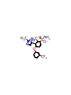 Cc1ncc(-c2c(Oc3cccc(C(F)(F)F)c3)ccc(S(N)(=O)=O)c2C)[nH]1